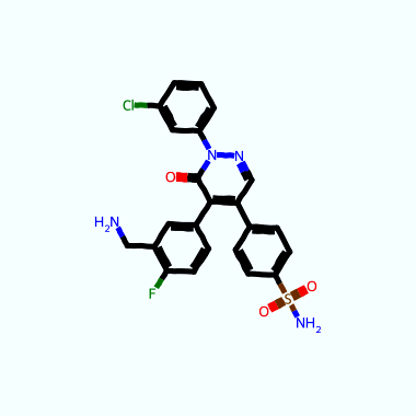 NCc1cc(-c2c(-c3ccc(S(N)(=O)=O)cc3)cnn(-c3cccc(Cl)c3)c2=O)ccc1F